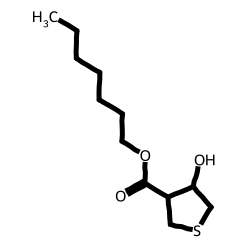 CCCCCCCOC(=O)C1CSCC1O